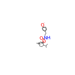 COc1ccc(CCNC(=O)O[C@@H]2C[C@H](C)CCC2C(C)C)cc1